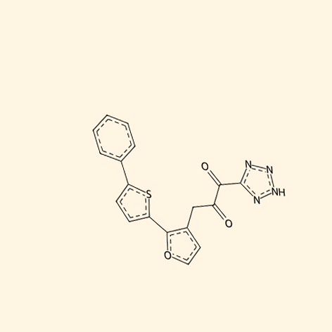 O=C(Cc1ccoc1-c1ccc(-c2ccccc2)s1)C(=O)c1nn[nH]n1